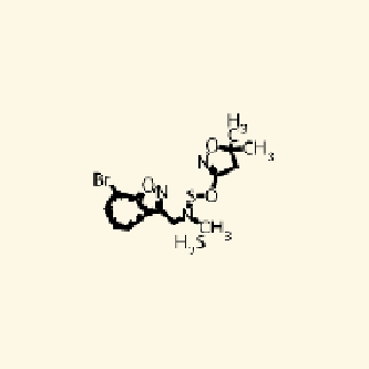 CN(Cc1noc2c(Br)cccc12)SOC1=NOC(C)(C)C1.S